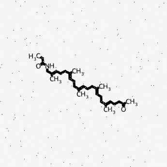 CCC(=O)NCC(C)=CCCC(C)=CCCC(C)=CCCC(C)=CCCC(C)=CCCC(C)=O